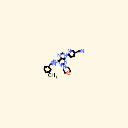 Cc1cccc(/C=N/Nc2nc(N3CCOCC3)nc3c2ncn3-c2ccc(C#N)cn2)c1